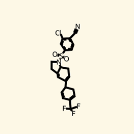 N#Cc1ccc(S(=O)(=O)N2CCC3=CC(C4C=CC(C(F)(F)F)=CC4)=CCC32)cc1Cl